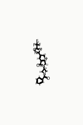 O=C(c1ccccc1)N1CC(N2Cc3ncc(-c4noc(C(F)(F)F)n4)cc3C2=O)C1